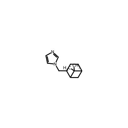 CC1(C)C2CCC(Cn3ccnc3)C1C2